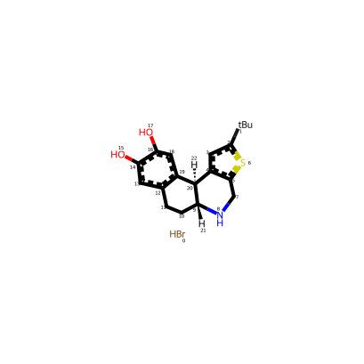 Br.CC(C)(C)c1cc2c(s1)CN[C@@H]1CCc3cc(O)c(O)cc3[C@@H]21